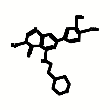 COc1ccc(-c2cc3ncn(C)c(=O)c3c(NCCN3CCOCC3)n2)cc1OC